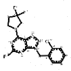 CC(C)c1nc(N2CCC(F)(F)C2)c2nnn(Cc3ccccc3Cl)c2n1